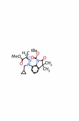 COC(=O)/C(C)=N\N(CC1CC1)c1cccc2c1N(C(=O)OC(C)(C)C)C(=O)C2(C)C